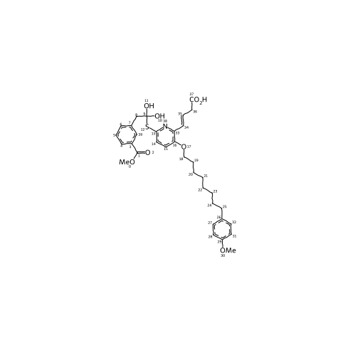 COC(=O)c1cccc(CC(O)(O)Sc2ccc(OCCCCCCCCc3ccc(OC)cc3)c(C=CCC(=O)O)n2)c1